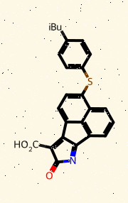 CCC(C)c1ccc(Sc2ccc3c4c(cccc24)C2=NC(=O)C(C(=O)O)=C23)cc1